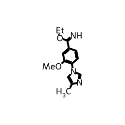 CCOC(=N)c1ccc(-n2cnc(C)c2)c(OC)c1